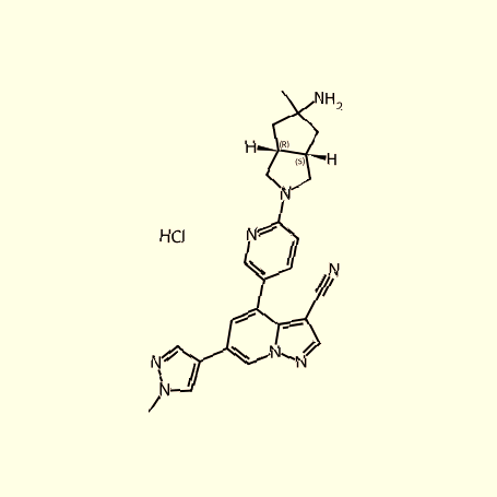 Cl.Cn1cc(-c2cc(-c3ccc(N4C[C@@H]5CC(C)(N)C[C@@H]5C4)nc3)c3c(C#N)cnn3c2)cn1